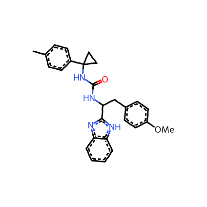 COc1ccc(CC(NC(=O)NC2(c3ccc(C)cc3)CC2)c2nc3ccccc3[nH]2)cc1